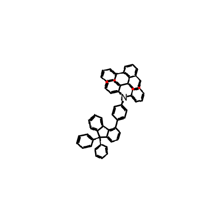 c1ccc(-c2cccc3cccc(-c4ccccc4N(c4ccccc4)c4ccc(-c5cccc6c5-c5ccccc5C6(c5ccccc5)c5ccccc5)cc4)c23)cc1